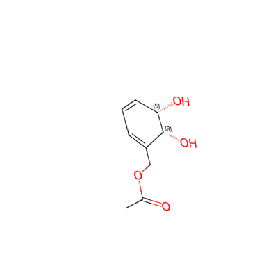 CC(=O)OCC1=CC=C[C@H](O)[C@@H]1O